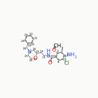 COc1cc(N)c(Cl)cc1C(=O)NCCC1CN(Cc2ccccc2)CCO1